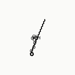 CCCCCCCCCCCCCCCCC(COCCOCCOc1ccccc1)OP(=O)(O)O